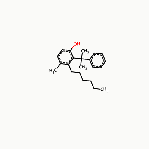 CCCCCCc1c(C)ccc(O)c1C(C)(C)c1ccccc1